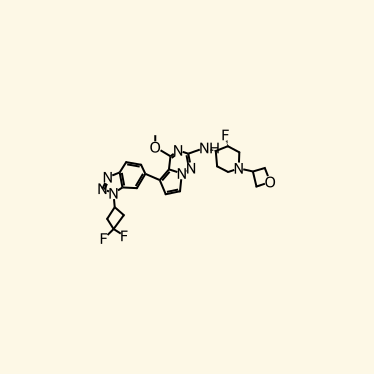 COc1nc(N[C@H]2CCN(C3COC3)C[C@H]2F)nn2ccc(-c3ccc4nnn(C5CC(F)(F)C5)c4c3)c12